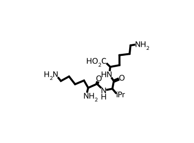 CC(C)C(NC(=O)C(N)CCCCN)C(=O)NC(CCCCN)C(=O)O